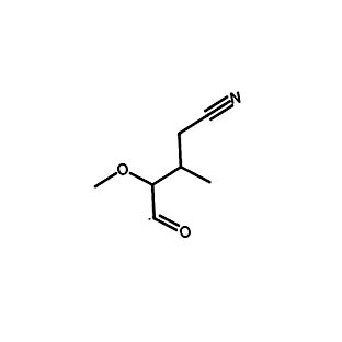 COC([C]=O)C(C)CC#N